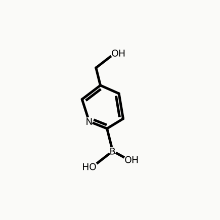 OCc1ccc(B(O)O)nc1